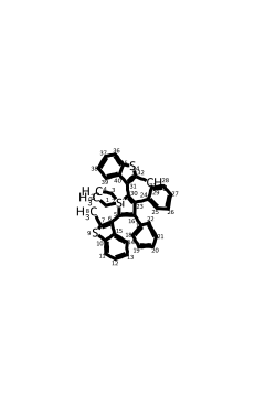 CC[Si]1(CC)C(c2c(C)sc3ccccc23)=C(c2ccccc2)C(c2ccccc2)=C1c1c(C)sc2ccccc12